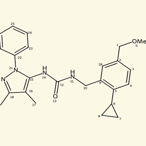 COCc1ccc(C2CC2)c(CNC(=O)Nc2c(C)c(C)nn2-c2ccccc2)c1